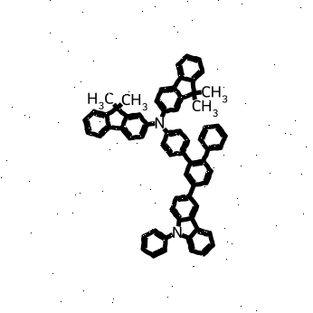 CC1(C)c2ccccc2-c2ccc(N(c3ccc(-c4cc(-c5ccc6c(c5)c5ccccc5n6-c5ccccc5)ccc4-c4ccccc4)cc3)c3ccc4c(c3)C(C)(C)c3ccccc3-4)cc21